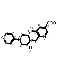 O=C([O-])c1cnc(CN2CCN(c3ccncc3)CC2)c(Cl)c1.[Li+]